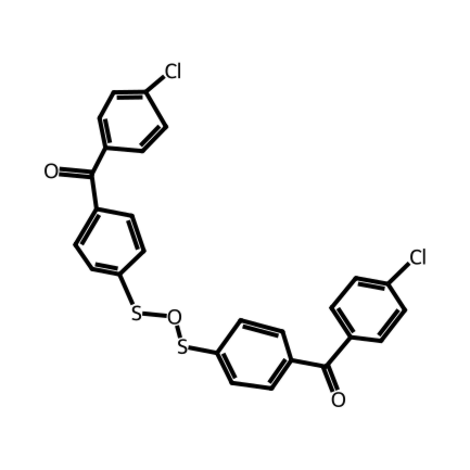 O=C(c1ccc(Cl)cc1)c1ccc(SOSc2ccc(C(=O)c3ccc(Cl)cc3)cc2)cc1